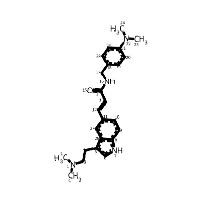 CN(C)CCc1c[nH]c2ccc(C=CC(=O)NCc3ccc(N(C)C)cc3)cc12